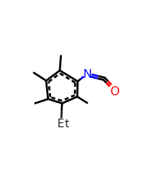 CCc1c(C)c(C)c(C)c(N=C=O)c1C